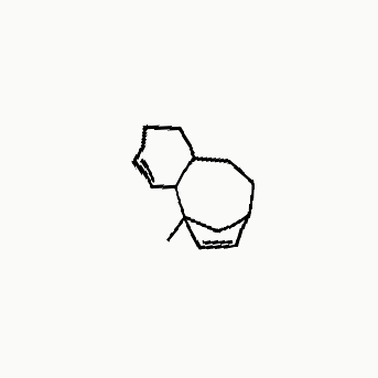 CC12C=CC(CCC3CCC=CC31)C2